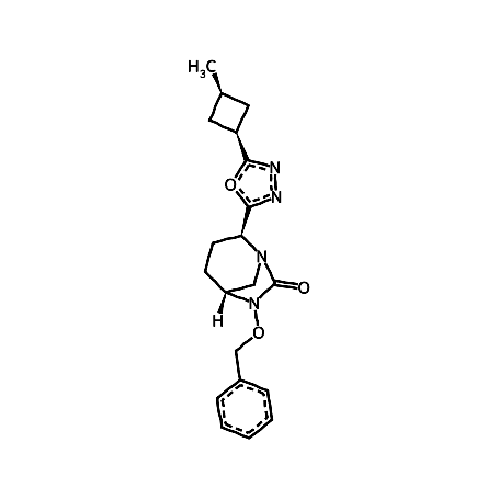 C[C@H]1C[C@@H](c2nnc([C@@H]3CC[C@@H]4CN3C(=O)N4OCc3ccccc3)o2)C1